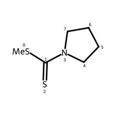 [CH2]SC(=S)N1CCCC1